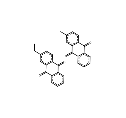 CCc1ccc2c(c1)C(=O)c1ccccc1C2=O.Cc1ccc2c(c1)C(=O)c1ccccc1C2=O